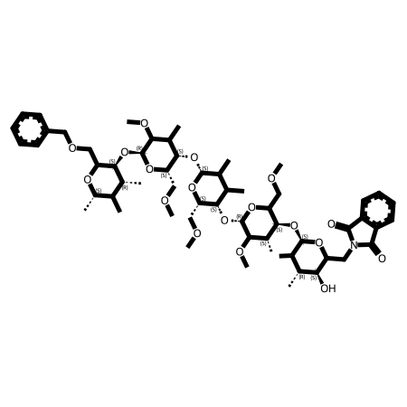 COCC1O[C@@H](O[C@H]2C(C)C(C)[C@@H](O[C@H]3C(C)C(OC)[C@H](O[C@@H]4C(COCc5ccccc5)O[C@@H](C)C(C)[C@H]4C)O[C@H]3COC)O[C@H]2COC)C(OC)[C@@H](C)[C@@H]1O[C@H]1OC(CN2C(=O)c3ccccc3C2=O)[C@@H](O)[C@H](C)C1C